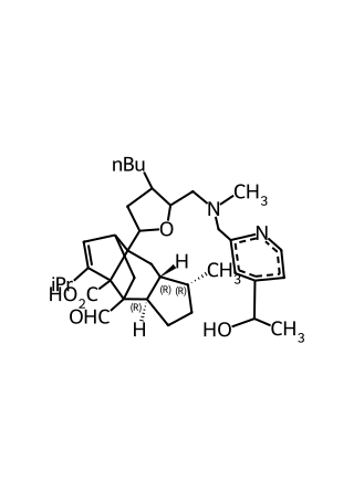 CCCCC1CC(C23C[C@@H]4[C@H](C)CC[C@H]4C4(C=O)CC2C=C(C(C)C)C34C(=O)O)OC1CN(C)Cc1cc(C(C)O)ccn1